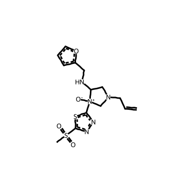 C=CCN1CC(NCc2ccco2)[N+]([O-])(c2nnc(S(C)(=O)=O)s2)C1